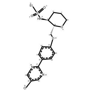 CCS(=O)(=O)N[C@H]1CCCO[C@@H]1COc1ccc(-c2ncc(Cl)cn2)cc1